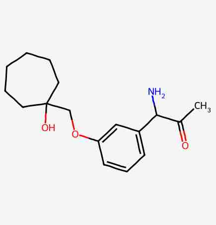 CC(=O)C(N)c1cccc(OCC2(O)CCCCCC2)c1